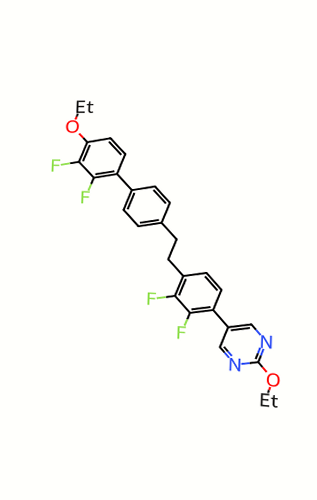 CCOc1ncc(-c2ccc(CCc3ccc(-c4ccc(OCC)c(F)c4F)cc3)c(F)c2F)cn1